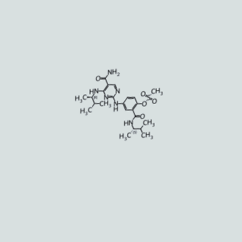 CC(C)[C@H](C)NC(=O)c1cc(Nc2ncc(C(N)=O)c(N[C@H](C)C(C)C)n2)ccc1OS(C)(=O)=O